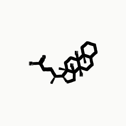 CC(C)C(=O)/C=C/[C@@H](C)[C@H]1CC[C@H]2[C@@H]3CCC4CCCC[C@]4(C)[C@H]3CC[C@]12C